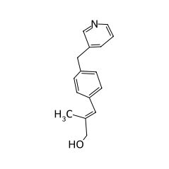 C/C(=C\c1ccc(Cc2cccnc2)cc1)CO